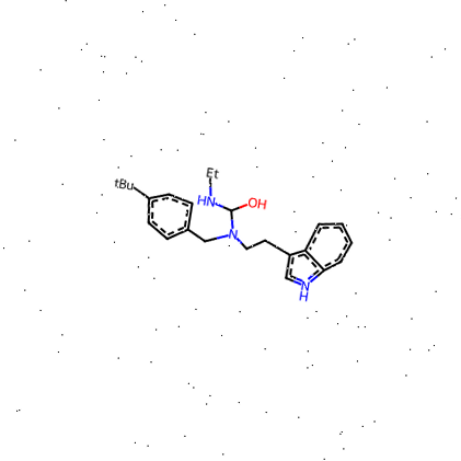 CCNC(O)N(CCc1c[nH]c2ccccc12)Cc1ccc(C(C)(C)C)cc1